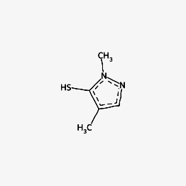 Cc1cnn(C)c1S